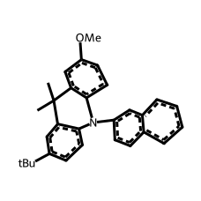 COc1ccc2c(c1)C(C)(C)c1cc(C(C)(C)C)ccc1N2c1ccc2ccccc2c1